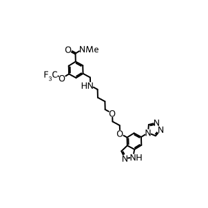 CNC(=O)c1cc(CNCCCCOCCOc2cc(-n3cnnc3)cc3[nH]ncc23)cc(OC(F)(F)F)c1